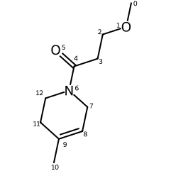 COCCC(=O)N1CC=C(C)CC1